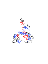 CC(C)C[C@H](N)C(=O)N[C@@H](CCC(=O)OC(C)(C)C)C(=O)NCC(=O)N[C@@H](CCC(=O)NC(c1ccccc1)(c1ccccc1)c1ccccc1)C(=O)N[C@@H](C)C(=O)N[C@@H](C)C(=O)N[C@@H](CCCCN)C(=O)O